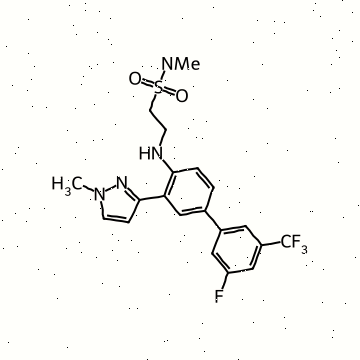 CNS(=O)(=O)CCNc1ccc(-c2cc(F)cc(C(F)(F)F)c2)cc1-c1ccn(C)n1